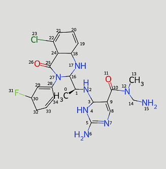 C[C@H](NC1NC(N)=NC=C1C(=O)N(C)CN)C1NC2C=CC=C(Cl)C2C(=O)N1C1=CC(F)CC=C1